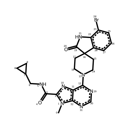 Cn1c(C(=O)NCC2CC2)nc2c(N3CCC4(CC3)C(=O)Nc3c(Br)cccc34)ncnc21